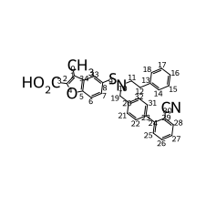 Cc1c(C(=O)O)oc2ccc(SN(CCc3ccccc3)Cc3ccc(-c4ccccc4C#N)cc3)cc12